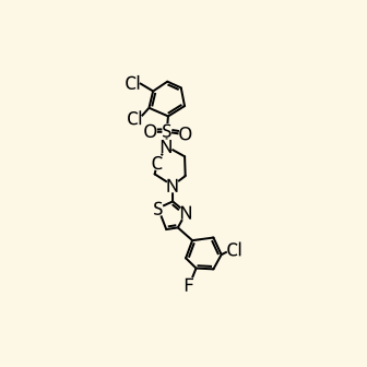 O=S(=O)(c1cccc(Cl)c1Cl)N1CCN(c2nc(-c3cc(F)cc(Cl)c3)cs2)CC1